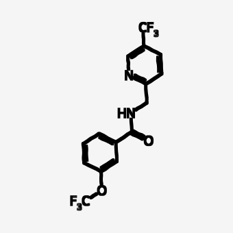 O=C(NCc1ccc(C(F)(F)F)cn1)c1cccc(OC(F)(F)F)c1